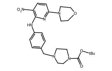 CC(C)(C)OC(=O)N1CCN(Cc2ccc(Nc3nc(N4CCOCC4)ccc3[N+](=O)[O-])cc2)CC1